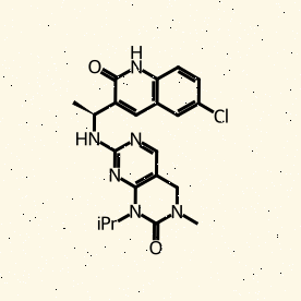 CC(C)N1C(=O)N(C)Cc2cnc(N[C@@H](C)c3cc4cc(Cl)ccc4[nH]c3=O)nc21